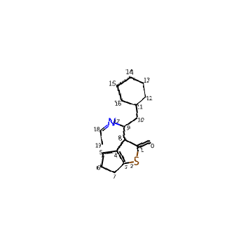 C=C1SC2=C(CCC2)C1C(CC1CCCCC1)/N=C\C